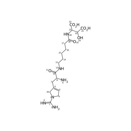 N=C(N)N1CC=C(CC(N)C(=O)NCCCCCC(=O)NC(C(=O)O)C(O)C(=O)O)C1